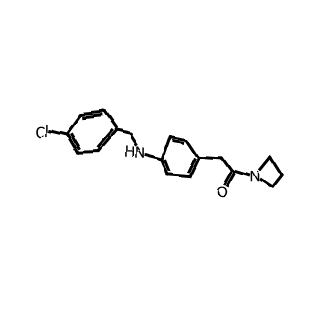 O=C(Cc1ccc(NCc2ccc(Cl)cc2)cc1)N1CCC1